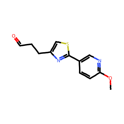 COc1ccc(-c2nc(CCC=O)cs2)cn1